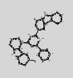 Cc1ccc2oc3cccc(-c4nc(-c5ccccc5)nc(-c5ccc6oc7ccccc7c6c5)n4)c3c2c1